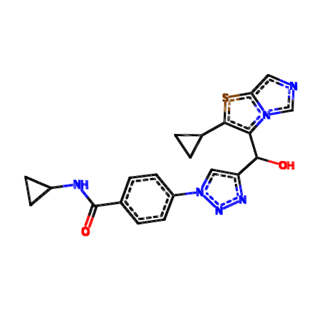 O=C(NC1CC1)c1ccc(-n2cc(C(O)c3c(C4CC4)sc4cncn34)nn2)cc1